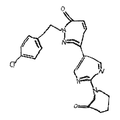 O=C1CCCN1c1ncc(-c2ccc(=O)n(Cc3ccc(Cl)cc3)n2)cn1